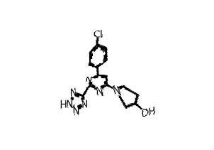 OC1CCN(c2cc(-c3ccc(Cl)cc3)nc(-c3nn[nH]n3)n2)C1